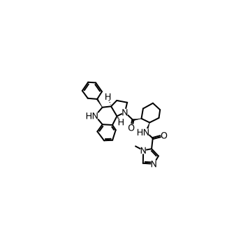 Cn1cncc1C(=O)N[C@@H]1CCCC[C@@H]1C(=O)N1CC[C@@H]2[C@H](C3C=CC=CC3)Nc3ccccc3[C@@H]21